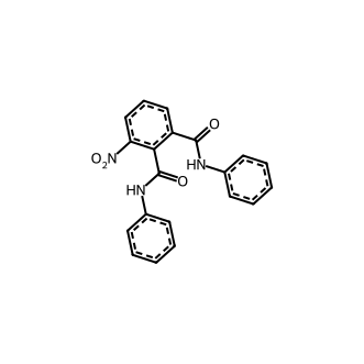 O=C(Nc1ccccc1)c1cccc([N+](=O)[O-])c1C(=O)Nc1ccccc1